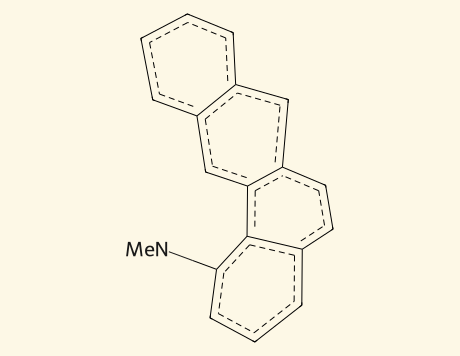 CNc1cccc2ccc3cc4ccccc4cc3c12